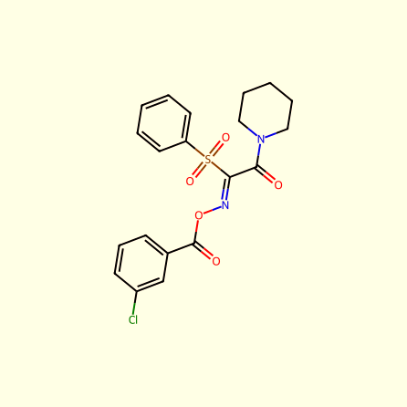 O=C(O/N=C(/C(=O)N1CCCCC1)S(=O)(=O)c1ccccc1)c1cccc(Cl)c1